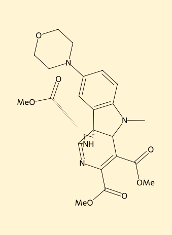 COC(=O)C1=C(C(=O)OC)C2N(C)c3ccc(N4CCOCC4)cc3[C@@]23C[C@@H](C(=O)OC)NC3=N1